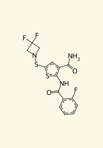 NC(=O)c1cc(SN2CC(F)(F)C2)sc1NC(=O)c1ccccc1F